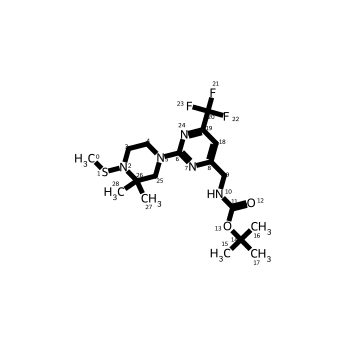 CSN1CCN(c2nc(CNC(=O)OC(C)(C)C)cc(C(F)(F)F)n2)CC1(C)C